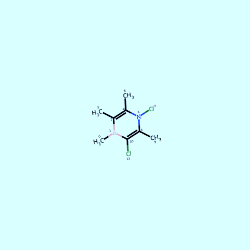 CB1C(C)=C(C)N(Cl)C(C)=C1Cl